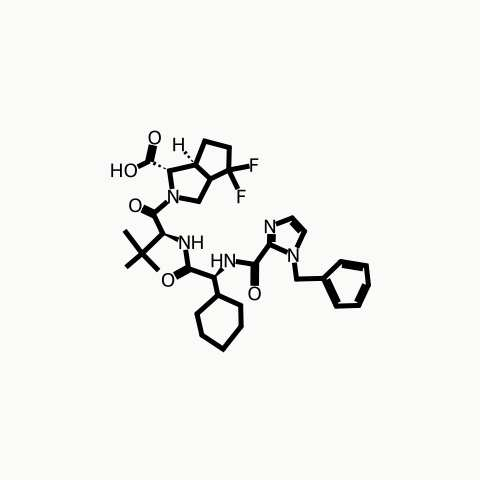 CC(C)(C)[C@H](NC(=O)[C@@H](NC(=O)c1nccn1Cc1ccccc1)C1CCCCC1)C(=O)N1CC2[C@H](CCC2(F)F)[C@H]1C(=O)O